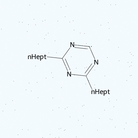 CCCCCCCc1n[c]nc(CCCCCCC)n1